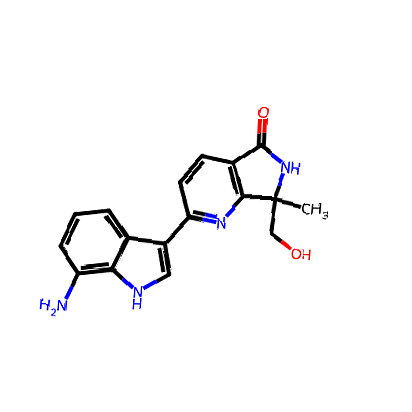 CC1(CO)NC(=O)c2ccc(-c3c[nH]c4c(N)cccc34)nc21